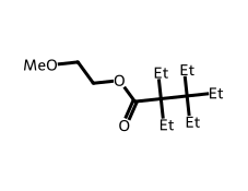 CCC(CC)(CC)C(CC)(CC)C(=O)OCCOC